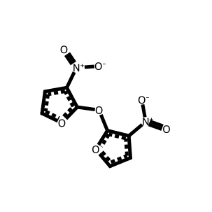 O=[N+]([O-])c1ccoc1Oc1occc1[N+](=O)[O-]